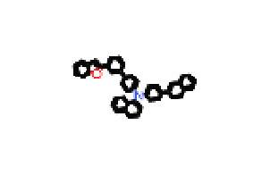 c1cc(-c2ccc(N(c3ccc(-c4ccc5ccccc5c4)cc3)c3cccc4ccccc34)cc2)cc(-c2cc3ccccc3o2)c1